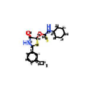 O=C1NC(c2cccc(C(F)(F)F)c2)SC1OC(=S)NC1CCCCC1